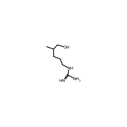 CC(CO)CCCNC(=N)N